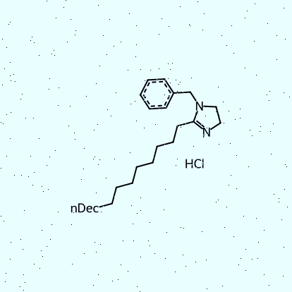 CCCCCCCCCCCCCCCCCCC1=NCCN1Cc1ccccc1.Cl